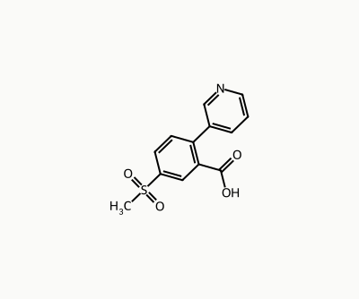 CS(=O)(=O)c1ccc(-c2cccnc2)c(C(=O)O)c1